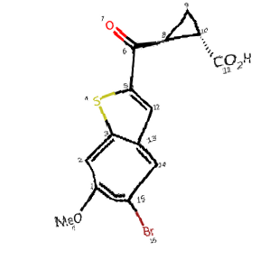 COc1cc2sc(C(=O)[C@H]3C[C@@H]3C(=O)O)cc2cc1Br